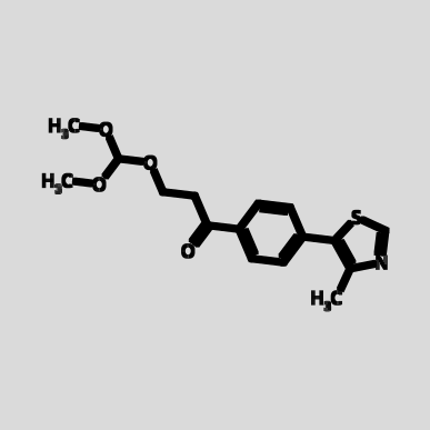 COC(OC)OCCC(=O)c1ccc(-c2scnc2C)cc1